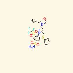 CC[C@H]1COCCN1CC[C@H](CSc1ccccc1)Nc1ccc(S(N)(=O)=O)cc1S(=O)(=O)C(F)(F)F